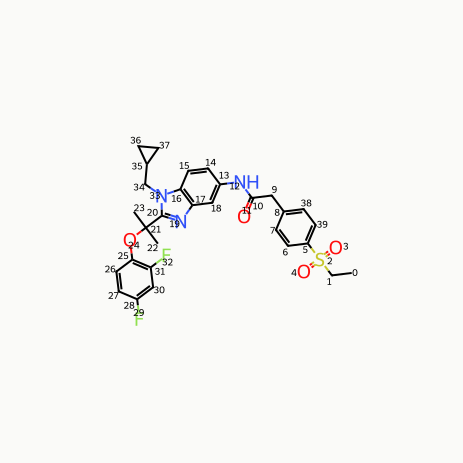 CCS(=O)(=O)c1ccc(CC(=O)Nc2ccc3c(c2)nc(C(C)(C)Oc2ccc(F)cc2F)n3CC2CC2)cc1